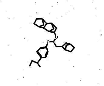 CCC(C)c1ccc(OC(CC2CC3CCC2C3)OC2CC3CC2C2C4CCC(C4)C32)cc1